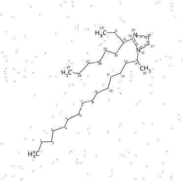 CCCCCCCCCCCCCCC(C)n1ccnc1C(CC)CCCCCC